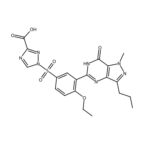 CCCc1nn(C)c2c(=O)[nH]c(-c3cc(S(=O)(=O)n4cnc(C(=O)O)n4)ccc3OCC)nc12